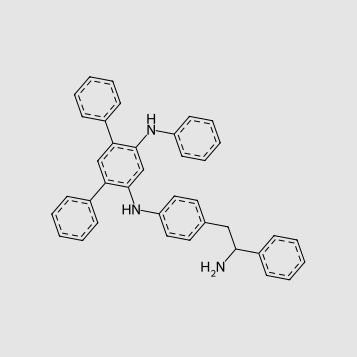 NC(Cc1ccc(Nc2cc(Nc3ccccc3)c(-c3ccccc3)cc2-c2ccccc2)cc1)c1ccccc1